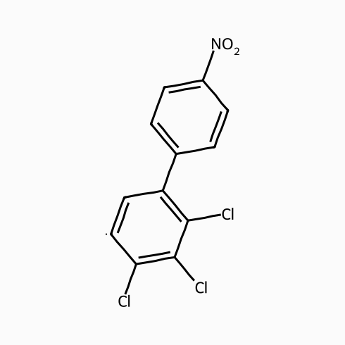 O=[N+]([O-])c1ccc(-c2c[c]c(Cl)c(Cl)c2Cl)cc1